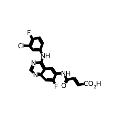 O=C(O)C=CC(=O)Nc1cc2c(Nc3ccc(F)c(Cl)c3)ncnc2cc1F